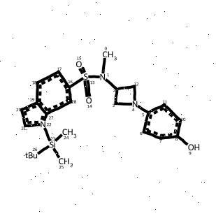 CN(C1CN(c2ccc(O)cc2)C1)S(=O)(=O)c1ccc2ccn([Si](C)(C)C(C)(C)C)c2c1